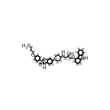 CCCCOc1ccc(S(=O)(=O)Nc2ccc(N3CCC(NCC(O)COc4cccc5[nH]c6ccccc6c45)CC3)cc2)cc1